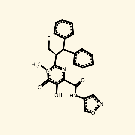 Cn1c([C@@H](CF)C(c2ccccc2)c2ccccc2)nc(C(=O)Nc2cnoc2)c(O)c1=O